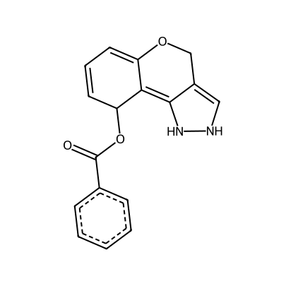 O=C(OC1C=CC=C2OCC3=CNNC3=C21)c1ccccc1